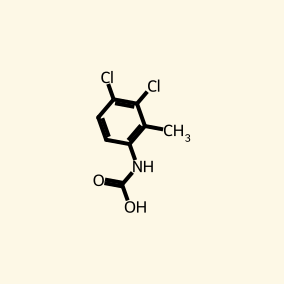 Cc1c(NC(=O)O)ccc(Cl)c1Cl